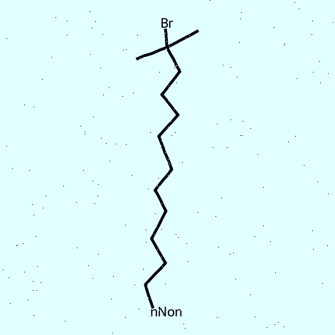 CCCCCCCCCCCCCCCCCCCC(C)(C)Br